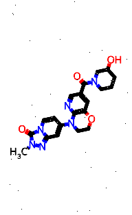 Cn1nc2cc(N3CCOc4cc(C(=O)N5CCCC(O)C5)cnc43)ccn2c1=O